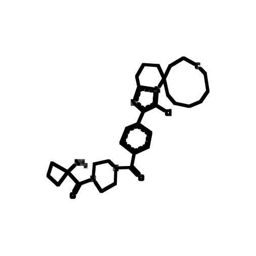 NC1(C(=O)N2CCN(C(=O)c3ccc(-c4nc5n(c4Cl)C4(CCCCCCCCC4)CCC5)cc3)CC2)CCC1